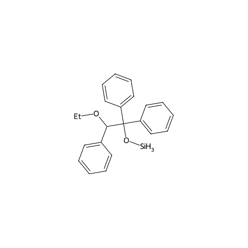 CCOC(c1ccccc1)C(O[SiH3])(c1ccccc1)c1ccccc1